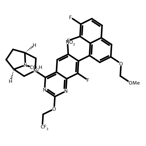 COCOc1cc(-c2c([N+](=O)[O-])cc3c(N4C[C@H]5CC[C@@H](C4)N5C(=O)O)nc(OCC(F)(F)F)nc3c2F)c2c(F)c(F)ccc2c1